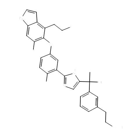 CC(O)(c1cccc(CCC(=O)O)c1)c1cnc(-c2cc(Oc3c(F)cc4[nH]ccc4c3CCF)ccc2F)[nH]1